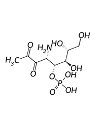 CC(=O)C(=O)[C@H](N)[C@@H](OP(=O)(O)O)[C@H](O)[C@H](O)CO